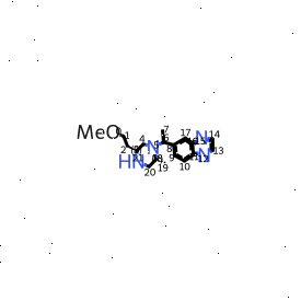 COCC[C@H]1CN(C(C)c2ccc3nccnc3c2)[C@H](C)CN1